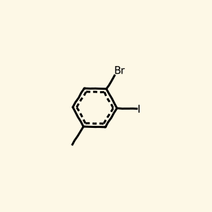 Cc1ccc(Br)c(I)c1